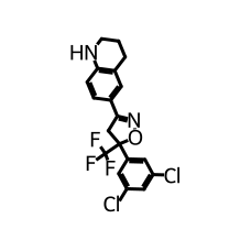 FC(F)(F)C1(c2cc(Cl)cc(Cl)c2)CC(c2ccc3c(c2)CCCN3)=NO1